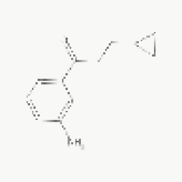 Nc1cccc(C(=O)CCC2CC2)c1